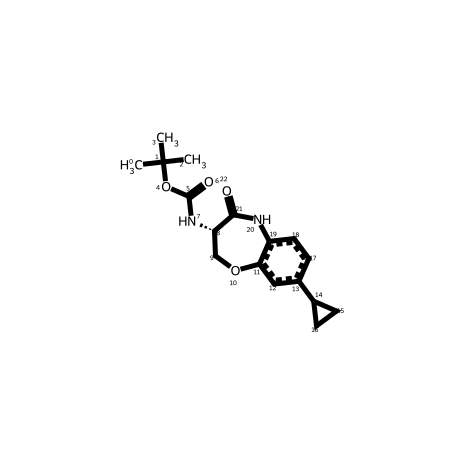 CC(C)(C)OC(=O)N[C@H]1COc2cc(C3CC3)ccc2NC1=O